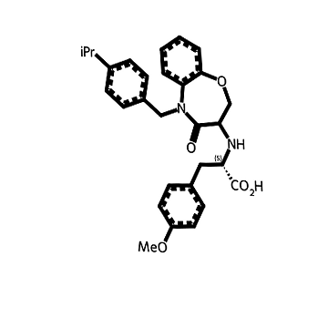 COc1ccc(C[C@H](NC2COc3ccccc3N(Cc3ccc(C(C)C)cc3)C2=O)C(=O)O)cc1